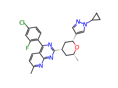 Cc1ccc2c(-c3ccc(Cl)cc3F)nc([C@H]3C[C@@H](C)O[C@@H](c4cnn(C5CC5)c4)C3)nc2n1